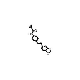 O=C(Nc1ccc(/C=C/c2ccc3c(c2)OCO3)cc1)C1CC1